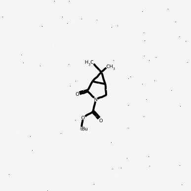 CC(C)(C)OC(=O)N1CC2C(C1=O)C2(C)C